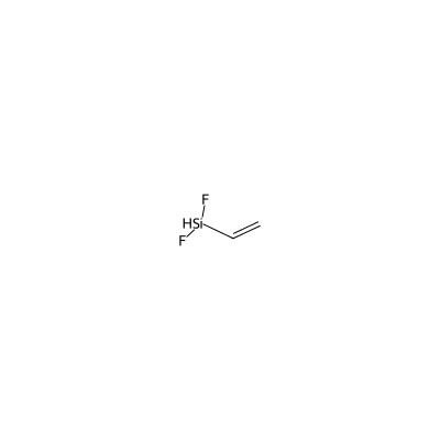 C=C[SiH](F)F